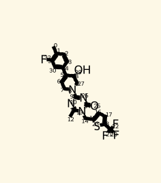 Cc1ccc(C2=CCN(c3nc(C)n(Cc4ccc(C(F)(F)F)s4)c(=O)n3)C[C@@H]2O)cc1F